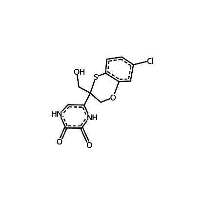 O=c1[nH]cc(C2(CO)COc3cc(Cl)ccc3S2)[nH]c1=O